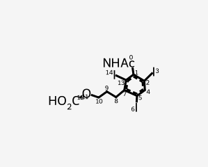 CC(=O)Nc1c(I)cc(I)c(CCCOC(=O)O)c1I